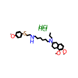 CCCN(CCCCCCNCCSc1ccc(OC)cc1)[C@H]1CCc2c(ccc(OC)c2OC)C1.Cl.Cl